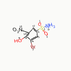 NS(=O)(=O)c1cc(Br)c(O)c([N+](=O)[O-])c1